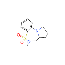 CN1CC2CCCN2c2ccccc2S1(=O)=O